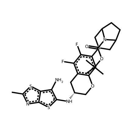 Cc1nc2sc(N[C@H]3COc4cc(N5CC6CCC(C5)N6C(=O)OC(C)(C)C)c(F)c(F)c4C3)c(N)c2s1